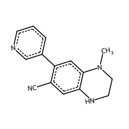 CN1CCNc2cc(C#N)c(-c3cccnc3)cc21